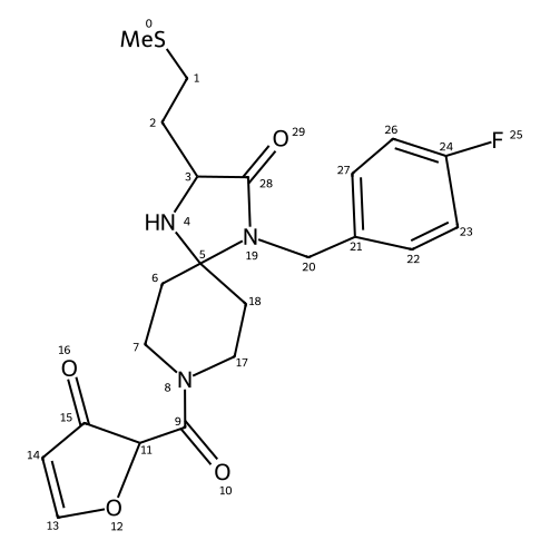 CSCCC1NC2(CCN(C(=O)C3OC=CC3=O)CC2)N(Cc2ccc(F)cc2)C1=O